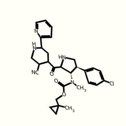 CN(C(=O)OCC1(C)CC1)[C@@H]1C(C(=O)C2CC(c3ccccn3)NCC2C#N)NC[C@H]1c1ccc(Cl)cc1